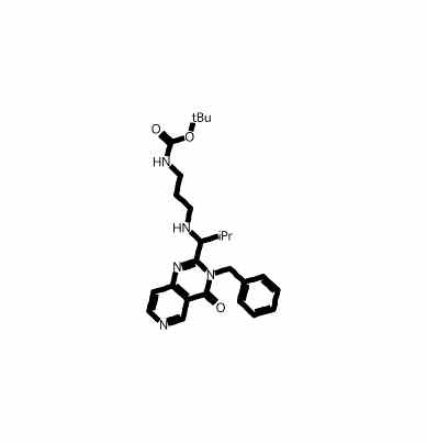 CC(C)C(NCCCNC(=O)OC(C)(C)C)c1nc2ccncc2c(=O)n1Cc1ccccc1